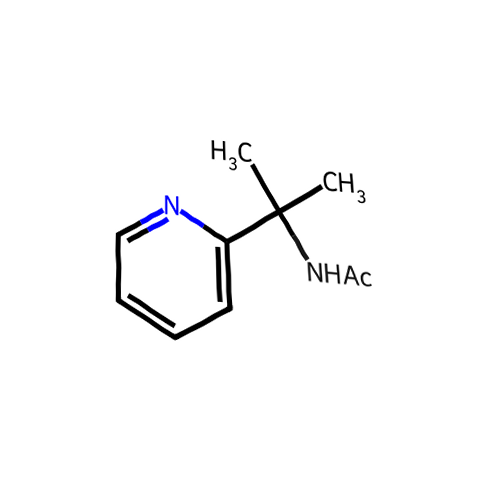 CC(=O)NC(C)(C)c1ccccn1